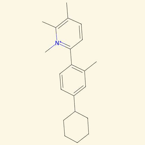 Cc1cc(C2CCCCC2)ccc1-c1ccc(C)c(C)[n+]1C